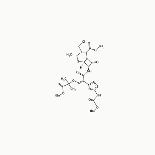 BOC(=O)C1=C(CCl)[C@@H](C)S[C@@H]2[C@H](NC(=O)/C(=N\OC(C)(C)C(=O)OC(C)(C)C)c3csc(NC(=O)OC(C)(C)C)n3)C(=O)N12